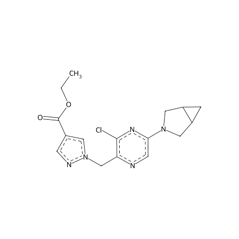 CCOC(=O)c1cnn(Cc2ncc(N3CC4CC4C3)nc2Cl)c1